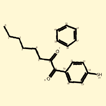 CCCCCCC(=O)C(=O)c1ccc(S)cc1.c1ccccc1